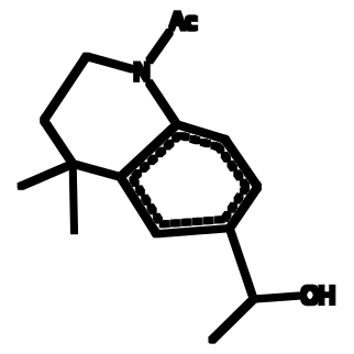 CC(=O)N1CCC(C)(C)c2cc(C(C)O)ccc21